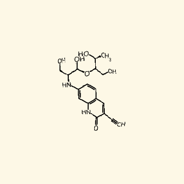 C#Cc1cc2ccc(N[C@@H](CO)C(O)OC(CO)[C@H](C)O)cc2[nH]c1=O